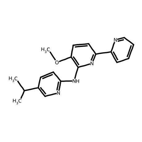 COc1ccc(-c2ccccn2)nc1Nc1ccc(C(C)C)cn1